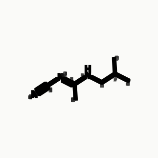 C/C(=N\C#N)NCC(C)C